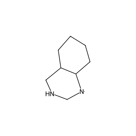 C1CCC2[N]CNCC2C1